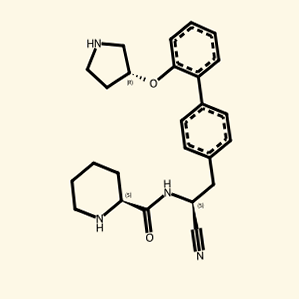 N#C[C@H](Cc1ccc(-c2ccccc2O[C@@H]2CCNC2)cc1)NC(=O)[C@@H]1CCCCN1